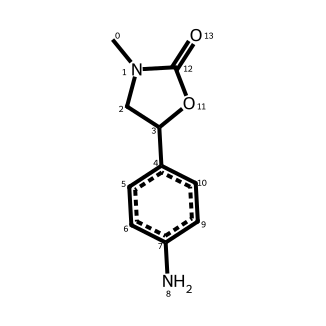 CN1CC(c2ccc(N)cc2)OC1=O